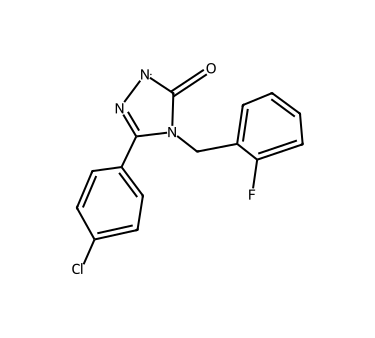 O=C1[N]N=C(c2ccc(Cl)cc2)N1Cc1ccccc1F